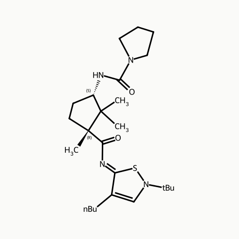 CCCCc1cn(C(C)(C)C)sc1=NC(=O)[C@]1(C)CC[C@H](NC(=O)N2CCCC2)C1(C)C